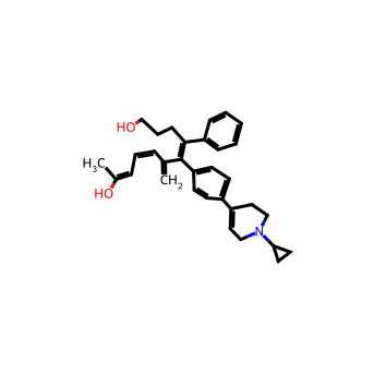 C=C(/C=C\C=C(/C)O)/C(=C(\CCCO)c1ccccc1)c1ccc(C2=CCN(C3CC3)CC2)cc1